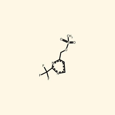 CS(=O)(=O)OCc1ccnc(C(F)(F)F)n1